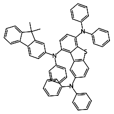 CC1(C)c2ccccc2-c2ccc(N(c3ccccc3)c3ccc(N(c4ccccc4)c4ccccc4)c4sc5ccc(N(c6ccccc6)c6ccccc6)cc5c34)cc21